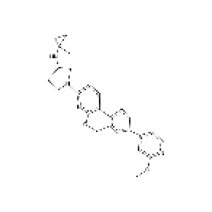 COc1cc(-c2ccc3c(c2)COc2nc(N4CCC(NC5(C)CC5)C4)ccc2-3)cnn1